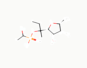 B[C@@H]1O[C@H](C(C)(CC)OP(=O)(O)C(C)O)[C@@H](O)[C@H]1Br